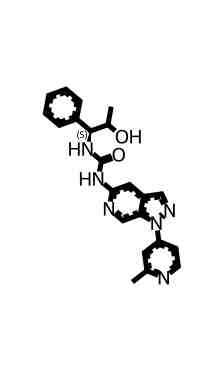 Cc1cc(-n2ncc3cc(NC(=O)N[C@@H](c4ccccc4)C(C)O)ncc32)ccn1